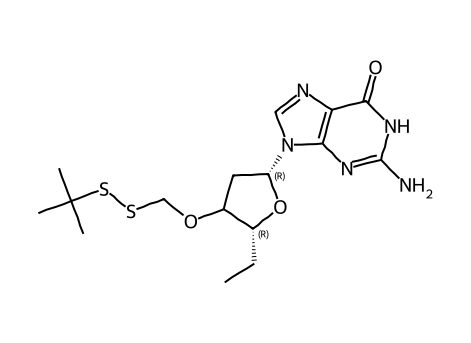 CC[C@H]1O[C@@H](n2cnc3c(=O)[nH]c(N)nc32)CC1OCSSC(C)(C)C